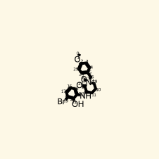 COc1ccc(C[N+]2([O-])CCCC(Nc3cccc(Br)c3O)C2=O)cc1